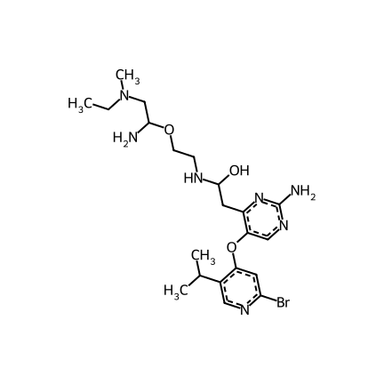 CCN(C)CC(N)OCCNC(O)Cc1nc(N)ncc1Oc1cc(Br)ncc1C(C)C